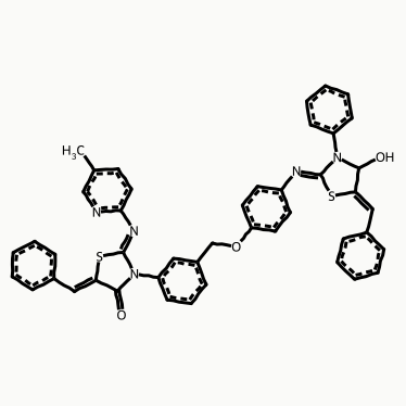 Cc1ccc(/N=C2\S/C(=C\c3ccccc3)C(=O)N2c2cccc(COc3ccc(/N=C4\S/C(=C\c5ccccc5)C(O)N4c4ccccc4)cc3)c2)nc1